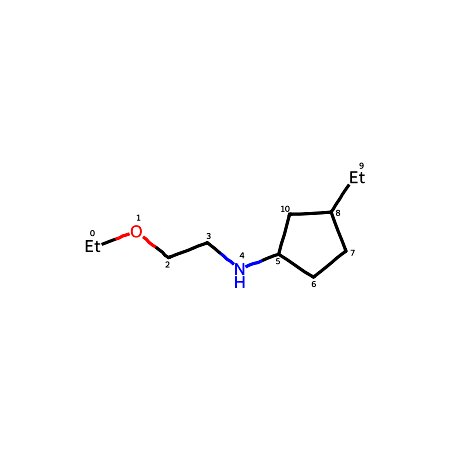 CCOCCNC1CCC(CC)C1